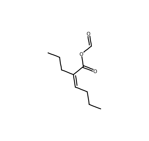 CCCC=C(CCC)C(=O)OC=O